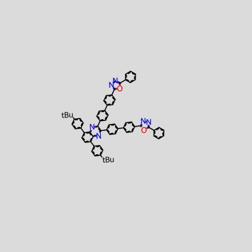 CC(C)(C)c1ccc(-c2ccc(-c3ccc(C(C)(C)C)cc3)c3nc(-c4ccc(-c5ccc(-c6nnc(-c7ccccc7)o6)cc5)cc4)c(-c4ccc(-c5ccc(-c6nnc(-c7ccccc7)o6)cc5)cc4)nc23)cc1